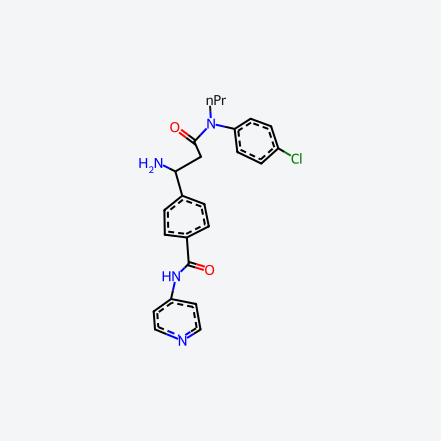 CCCN(C(=O)CC(N)c1ccc(C(=O)Nc2ccncc2)cc1)c1ccc(Cl)cc1